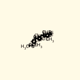 CCOC(=O)[C@@H]1CCN(C(=O)c2ccc(Cl)c(Cc3cc4c(C)cc(C(F)(F)F)cc4n3C)c2Cl)C[C@H]1C